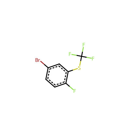 Fc1ccc(Br)cc1SC(F)(F)F